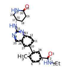 CCNC(=O)c1ccc(C)c(-c2ccc3nc(N[C@H]4CCC(=O)NC4)ncc3c2)c1